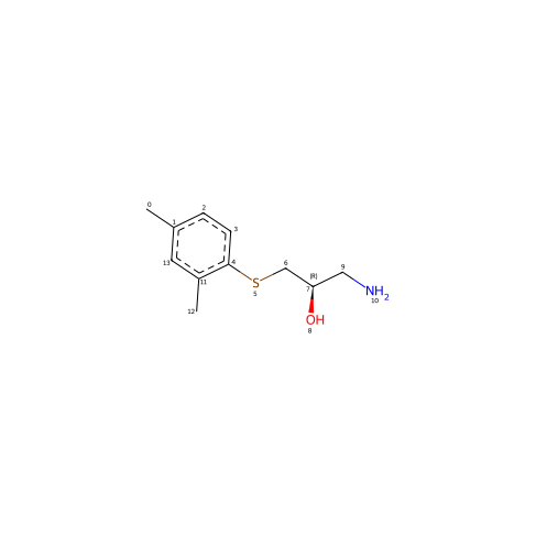 Cc1ccc(SC[C@H](O)CN)c(C)c1